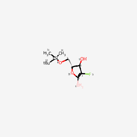 BC1=C(F)C(O)[C@@H](CO[Si](C)(C)C(C)(C)C)O1